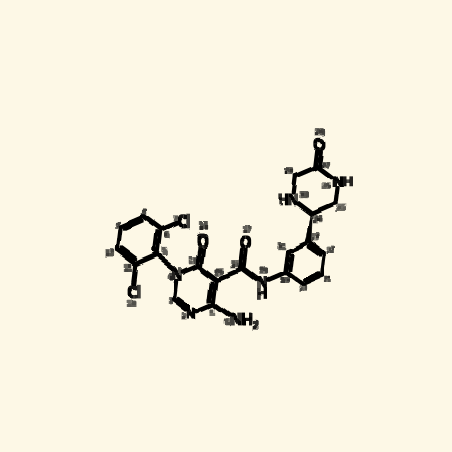 Nc1ncn(-c2c(Cl)cccc2Cl)c(=O)c1C(=O)Nc1cccc([C@@H]2CNC(=O)CN2)c1